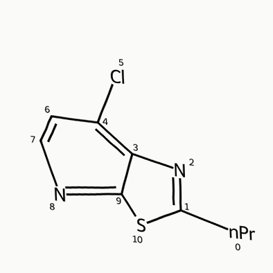 CCCc1nc2c(Cl)ccnc2s1